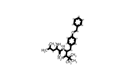 CC(C)CC(N)C(=O)NC(Cc1ccc(OCc2ccccc2)cc1)C(N)C(C)(C)C